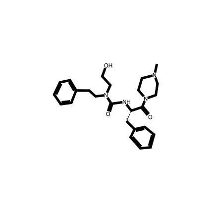 CN1CCN(C(=O)[C@H](Cc2ccccc2)NC(=O)N(CCO)CCc2ccccc2)CC1